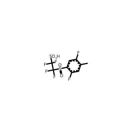 Cc1cc(F)c(S(=O)(=O)C(F)(F)C(F)(F)S(=O)(=O)O)cc1F